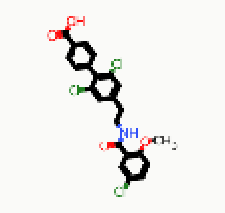 COc1ccc(Cl)cc1C(=O)NCCc1cc(Cl)c(-c2ccc(C(=O)O)cc2)c(Cl)c1